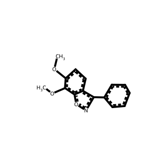 COc1ccc2c(-c3ccccc3)noc2c1OC